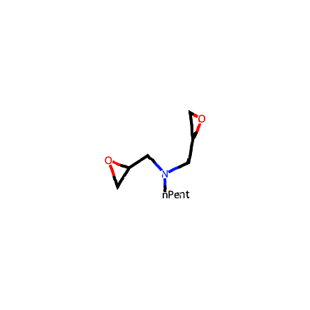 CCCCCN(CC1CO1)CC1CO1